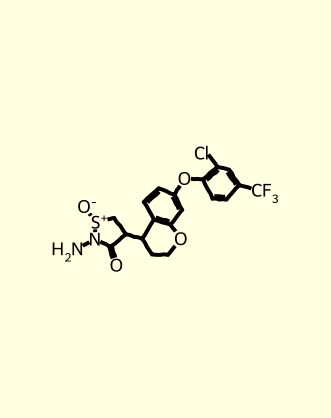 NN1C(=O)C(C2CCOc3cc(Oc4ccc(C(F)(F)F)cc4Cl)ccc32)C[S+]1[O-]